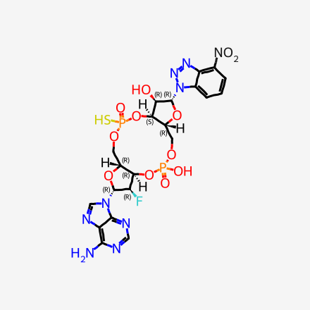 Nc1ncnc2c1ncn2[C@@H]1O[C@@H]2COP(=O)(S)O[C@H]3[C@@H](O)[C@H](n4nnc5c([N+](=O)[O-])cccc54)O[C@@H]3COP(=O)(O)O[C@H]2[C@H]1F